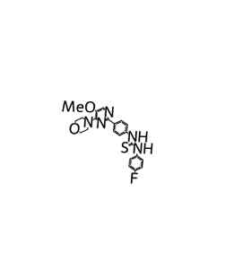 COc1cnc(-c2ccc(NC(=S)Nc3ccc(F)cc3)cc2)nc1N1CCOCC1